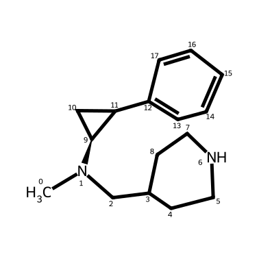 CN(CC1CCNCC1)[C@H]1CC1c1ccccc1